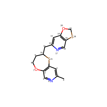 Cc1cc2c(cn1)OCCC(Cc1cc3c(cn1)SCO3)S2